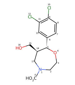 O=C(O)N1CCO[C@@H](c2ccc(Cl)c(Cl)c2)[C@H](CO)C1